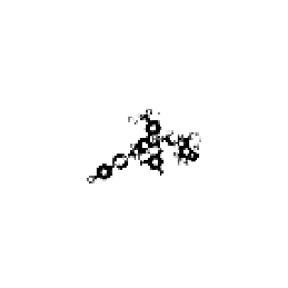 NC(=O)c1cc(-c2cc3sc(N4CCN(c5ccc(Cl)cc5)CC4)nc3nc2[C@H](Cc2cc(F)cc(F)c2)NC(=O)Cn2nc(C(F)(F)F)c3c2C(F)(F)[C@@H]2C#C[C@H]32)ccc1F